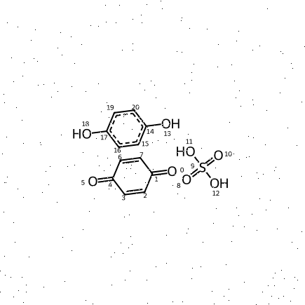 O=C1C=CC(=O)C=C1.O=S(=O)(O)O.Oc1ccc(O)cc1